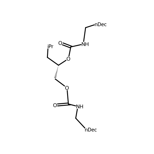 CCCCCCCCCCCNC(=O)OC[C@H](CC(C)C)OC(=O)NCCCCCCCCCCC